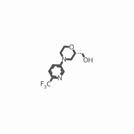 OC[C@@H]1CN(c2ccc(C(F)(F)F)nc2)CCO1